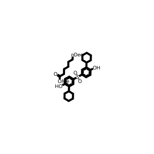 CCCCCCCCCCCCCCCC(=O)OC.O=S(=O)(c1ccc(O)c(C2CCCCC2)c1)c1ccc(O)c(C2CCCCC2)c1